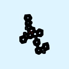 c1ccc(N(c2ccc(-c3cccc4oc5ccccc5c34)cc2)c2ccc3oc4ccccc4c3c2)c(-c2ccc3oc4cc5ccccc5cc4c3c2)c1